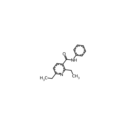 CCc1ccc(C(=O)Nc2ccccc2)c(CC)n1